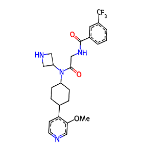 COc1cnccc1C1CCC(N(C(=O)CNC(=O)c2cccc(C(F)(F)F)c2)C2CNC2)CC1